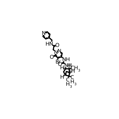 C[C@@H]1[C@H]2C[C@@H](C[C@H]1NC(=O)Nc1cnn(CC(=O)NCc3ccncc3)c(=O)c1Br)C2(C)C